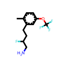 Cc1ccc(OC(F)(F)F)cc1CCC(F)CN